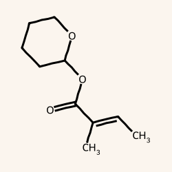 CC=C(C)C(=O)OC1CCCCO1